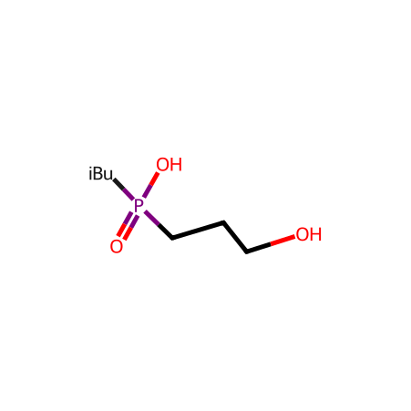 CCC(C)P(=O)(O)CCCO